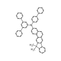 CC1(C)c2ccccc2-c2cc3ccc4cc(N(c5ccc(-c6ccccc6)cc5)c5cc(-c6ccccc6)cc(-c6ccccc6)c5)ccc4c3cc21